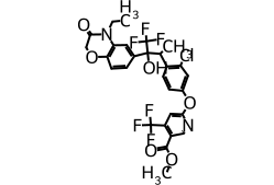 CCN1C(=O)COc2ccc(C(O)(C(C)c3ccc(Oc4cc(C(F)(F)F)c(C(=O)OC)cn4)cc3Cl)C(F)(F)F)cc21